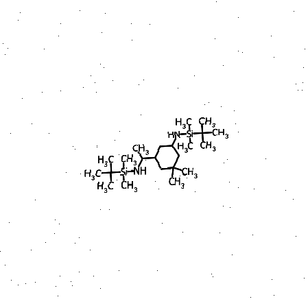 CC(N[Si](C)(C)C(C)(C)C)C1CC(N[Si](C)(C)C(C)(C)C)CC(C)(C)C1